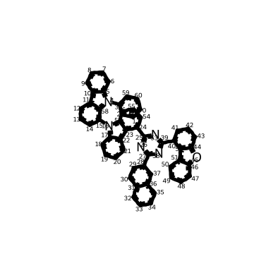 c1ccc(-n2c3ccccc3c3cccc(-n4c5ccccc5c5c(-c6nc(-c7ccc8ccccc8c7)nc(-c7cccc8oc9ccccc9c78)n6)cccc54)c32)cc1